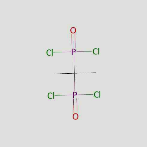 CC(C)(P(=O)(Cl)Cl)P(=O)(Cl)Cl